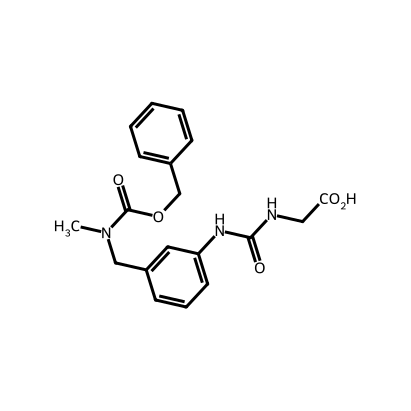 CN(Cc1cccc(NC(=O)NCC(=O)O)c1)C(=O)OCc1ccccc1